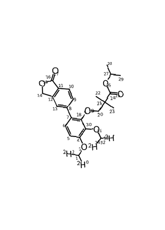 [2H]C([2H])Oc1ccc(-c2ccc3c(c2)COC3=O)c(OCC(C)(C)C(=O)OC(C)C)c1OC([2H])[2H]